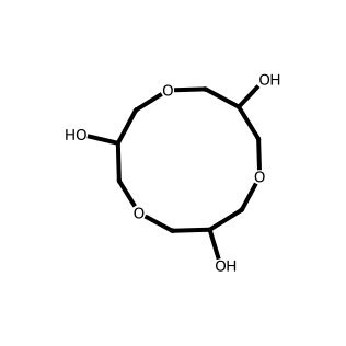 OC1COCC(O)COCC(O)COC1